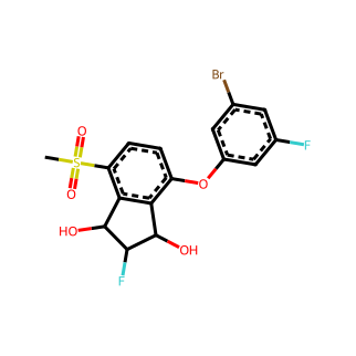 CS(=O)(=O)c1ccc(Oc2cc(F)cc(Br)c2)c2c1C(O)C(F)C2O